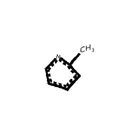 Cc1c[c][c][c]n1